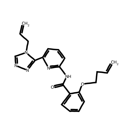 C=CCCOc1ccccc1C(=O)Nc1cccc(-c2nncn2CC=C)n1